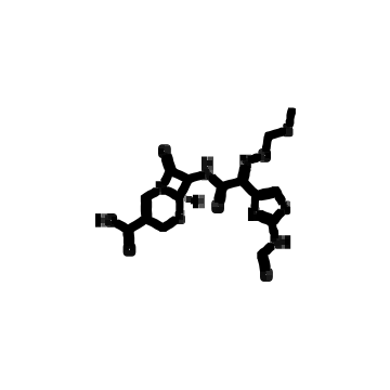 CSCON=C(C(=O)NC1C(=O)N2C=C(C(=O)O)CS[C@H]12)c1csc(NC=O)n1